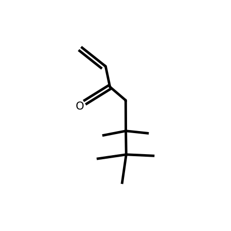 C=CC(=O)CC(C)(C)C(C)(C)C